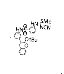 CSC(=NC#N)Nc1cccc(S(=O)(=O)Nc2cccc(C(Cc3ccccc3)C(=O)OC(C)(C)C)c2)c1